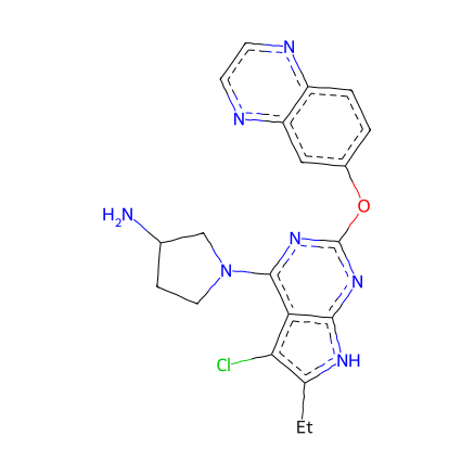 CCc1[nH]c2nc(Oc3ccc4nccnc4c3)nc(N3CCC(N)C3)c2c1Cl